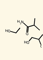 CC(C)C(N)=O.CC(O)CO.CCO